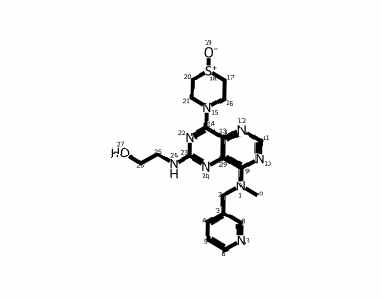 CN(Cc1cccnc1)c1ncnc2c(N3CC[S+]([O-])CC3)nc(NCCO)nc12